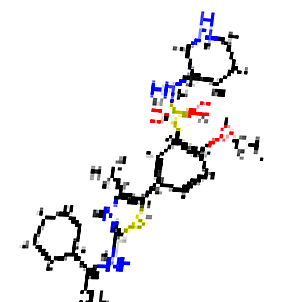 COc1ccc(-c2sc(NC(C)C3CCCCC3)nc2C)cc1S(=O)(=O)NC1CCCNC1